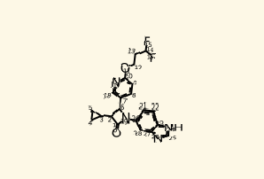 O=C1C(C2CC2)[C@@H](c2ccc(OCCC(F)F)nc2)N1c1ccc2[nH]cnc2c1